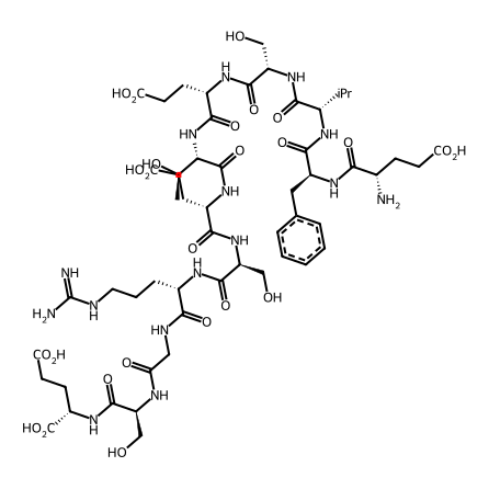 CC(C)[C@H](NC(=O)[C@H](Cc1ccccc1)NC(=O)[C@@H](N)CCC(=O)O)C(=O)N[C@@H](CO)C(=O)N[C@@H](CCC(=O)O)C(=O)N[C@H](C(=O)N[C@@H](CCC(=O)O)C(=O)N[C@@H](CO)C(=O)N[C@@H](CCCNC(=N)N)C(=O)NCC(=O)N[C@@H](CO)C(=O)N[C@@H](CCC(=O)O)C(=O)O)[C@@H](C)O